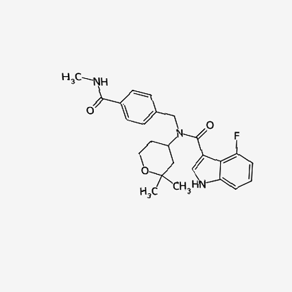 CNC(=O)c1ccc(CN(C(=O)c2c[nH]c3cccc(F)c23)C2CCOC(C)(C)C2)cc1